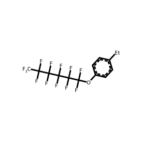 CCc1ccc(OC(F)(F)C(F)(F)C(F)(F)C(F)(F)C(F)(F)C(F)(F)F)cc1